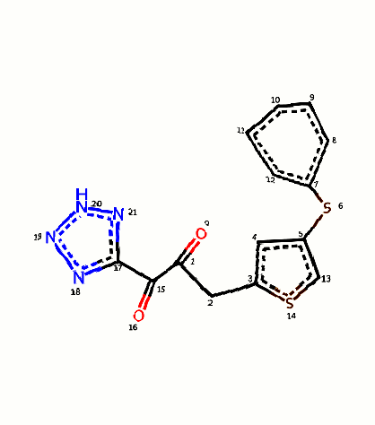 O=C(Cc1cc(Sc2ccccc2)cs1)C(=O)c1nn[nH]n1